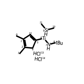 CC1=C(C)C[C]([Ti]([NH]C(C)(C)C)[SiH](C)C)=C1.Cl.Cl